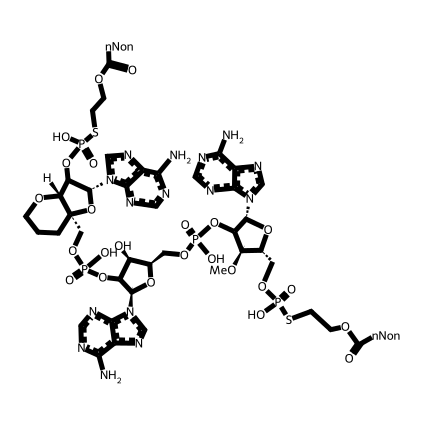 CCCCCCCCCC(=O)OCCSP(=O)(O)OC[C@H]1O[C@@H](n2cnc3c(N)ncnc32)C(OP(=O)(O)OC[C@H]2O[C@@H](n3cnc4c(N)ncnc43)C(OP(=O)(O)OC[C@]34CCCO[C@@H]3C(OP(=O)(O)SCCOC(=O)CCCCCCCCC)[C@H](n3cnc5c(N)ncnc53)O4)[C@H]2O)[C@@H]1OC